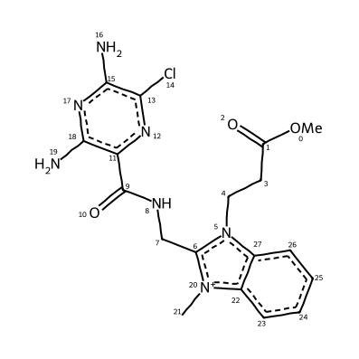 COC(=O)CCn1c(CNC(=O)c2nc(Cl)c(N)nc2N)[n+](C)c2ccccc21